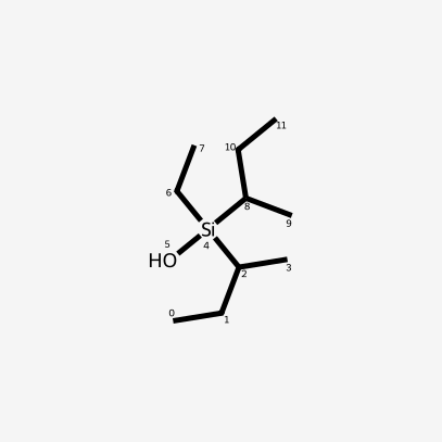 CCC(C)[Si](O)(CC)C(C)CC